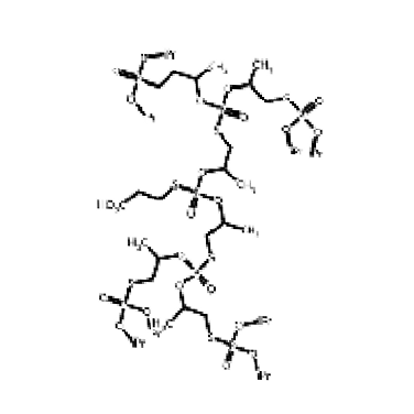 CC(C)OP(=O)(CCC(C)OP(=O)(OC(C)CSP(=O)(OC(C)C)OC(C)C)SCC(C)OP(=O)(OC(C)CSP(=O)(OC(C)CSP(=O)(OC(C)C)OC(C)C)OC(C)CSP(=O)(OC(C)C)OC(C)C)SCCC(=O)O)OC(C)C